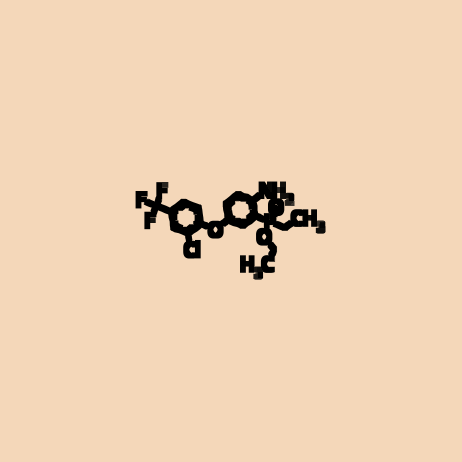 CCOP(=O)(CC)c1cc(Oc2ccc(C(F)(F)F)cc2Cl)ccc1N